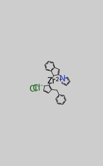 C1=CC(Cc2ccccc2)=[C]([Zr+2][CH]2C(n3cccc3)=Cc3ccccc32)C1.[Cl-].[Cl-]